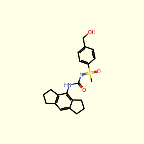 CS(=O)(=NC(=O)Nc1c2c(cc3c1CCC3)CCC2)c1ccc(CO)cc1